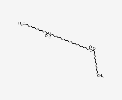 CCCCCCCCCCCCCC(=O)OC(=O)CCCCCCCCCCCCCCCCCCCCC(=O)OC(=O)CCCCCCCCCCCCC